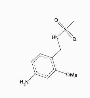 COc1cc(N)ccc1CNS(C)(=O)=O